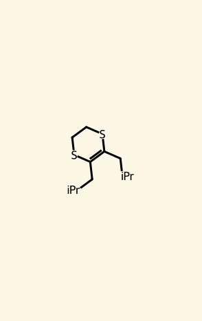 CC(C)CC1=C(CC(C)C)SCCS1